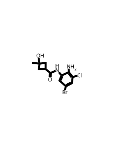 CC1(O)CC(C(=O)Nc2cc(Br)cc(Cl)c2N)C1